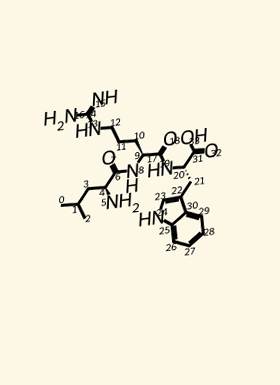 CC(C)C[C@H](N)C(=O)N[C@@H](CCCNC(=N)N)C(=O)N[C@@H](Cc1c[nH]c2ccccc12)C(=O)O